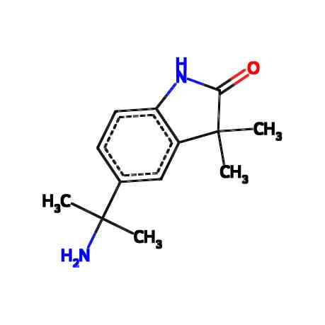 CC(C)(N)c1ccc2c(c1)C(C)(C)C(=O)N2